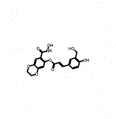 O=C(/C=C/c1ccc(O)c(CO)c1)Oc1cc2c(cc1C(=O)NO)OCCO2